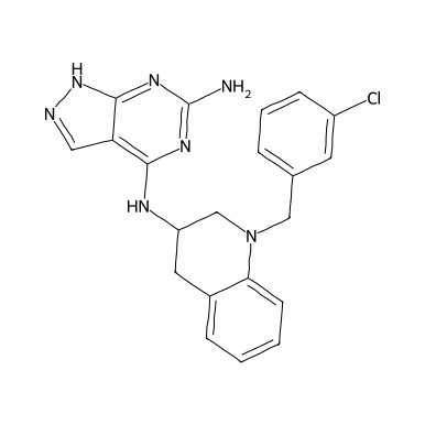 Nc1nc(NC2Cc3ccccc3N(Cc3cccc(Cl)c3)C2)c2cn[nH]c2n1